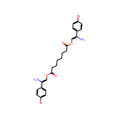 N/C(=C\OC(=O)CCCCCCC(=O)O/C=C(\N)c1ccc(Br)cc1)c1ccc(Br)cc1